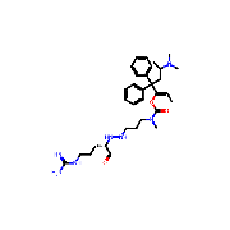 C/C=C(\OC(=O)N(C)CCCNN[C@H](C=O)CCCNC(=N)N)C(CC(C)N(C)C)(c1ccccc1)c1ccccc1